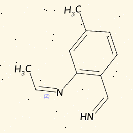 C/C=N\c1cc(C)ccc1C=N